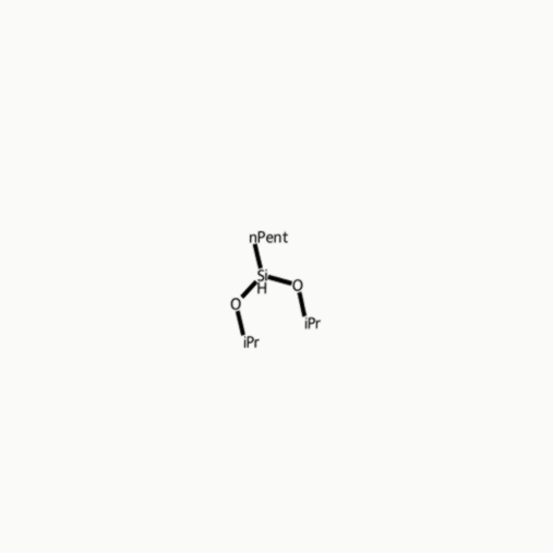 CCCCC[SiH](OC(C)C)OC(C)C